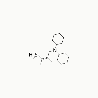 CC([SiH3])=C(C)CN(C1CCCCC1)C1CCCCC1